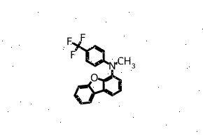 CN(c1ccc(C(F)(F)F)cc1)c1cccc2c1oc1ccccc12